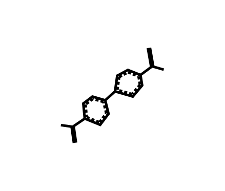 C=C(C)c1ccc(-c2ccc(C(=C)C)cc2)cc1